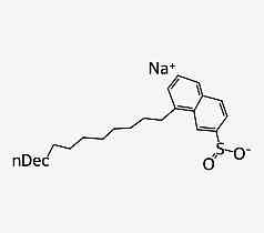 CCCCCCCCCCCCCCCCCCc1cccc2ccc(S(=O)[O-])cc12.[Na+]